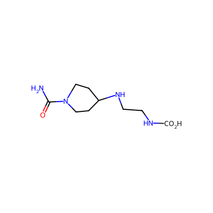 NC(=O)N1CCC(NCCNC(=O)O)CC1